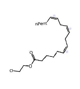 CCCCC/C=C\C/C=C\C/C=C\CCCCC(=O)OCCCl